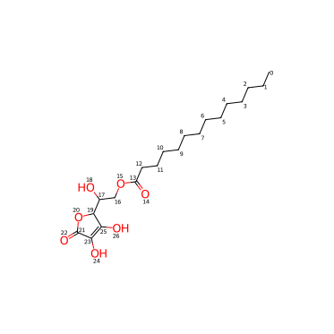 CCCCCCCCCCCCCC(=O)OCC(O)C1OC(=O)C(O)=C1O